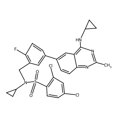 Cc1nc(NC2CC2)c2cc(-c3ccc(F)c(CN(C4CC4)S(=O)(=O)c4ccc(Cl)cc4Cl)c3)ccc2n1